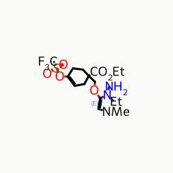 CCOC(=O)C1(CO/C(=C/NC)N(N)CC)CC=C(OS(=O)(=O)C(F)(F)F)CC1